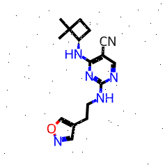 CC1(C)CC[C@H]1Nc1nc(NCCc2cnoc2)ncc1C#N